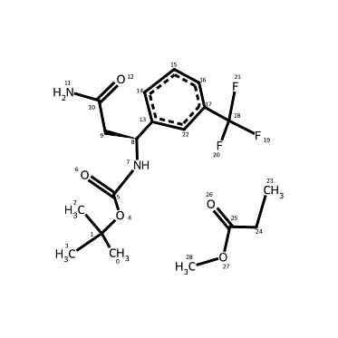 CC(C)(C)OC(=O)N[C@@H](CC(N)=O)c1cccc(C(F)(F)F)c1.CCC(=O)OC